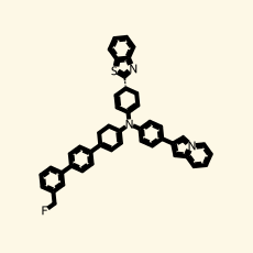 FCc1cccc(-c2ccc(C3=CC=C(N(C4=CC[C@@H](c5nc6ccccc6s5)C=C4)c4ccc(-c5cc6ccccn6c5)cc4)CC3)cc2)c1